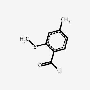 CSc1cc(C)ccc1C(=O)Cl